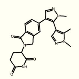 Cc1c(-c2c(-c3ccc4c(c3)CN(C3CCC(=O)NC3=O)C4=O)cnn2C)cnn1C